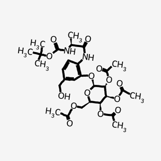 CC(=O)OC[C@H]1O[C@@H](Oc2cc(CO)ccc2NC(=O)[C@H](C)NC(=O)OC(C)(C)C)[C@H](OC(C)=O)[C@@H](OC(C)=O)[C@H]1OC(C)=O